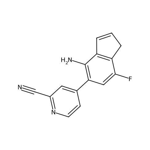 N#Cc1cc(-c2cc(F)c3c(c2N)C=CC3)ccn1